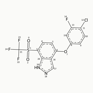 O=S(=O)(c1ccc(Oc2ccc(Cl)c(F)c2)c2cn[nH]c12)C(F)(F)F